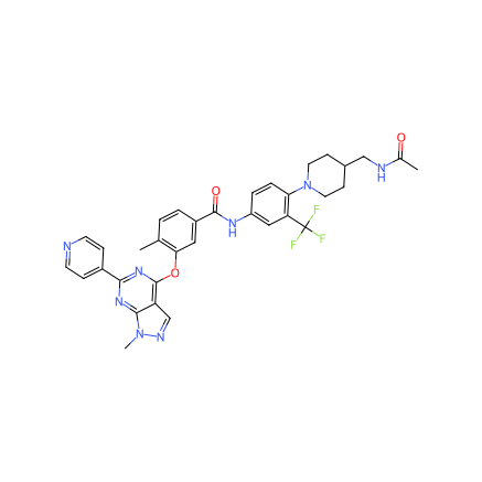 CC(=O)NCC1CCN(c2ccc(NC(=O)c3ccc(C)c(Oc4nc(-c5ccncc5)nc5c4cnn5C)c3)cc2C(F)(F)F)CC1